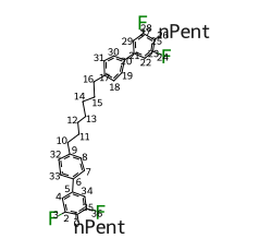 CCCCCc1c(F)cc(-c2ccc(CCCCCCCc3ccc(-c4cc(F)c(CCCCC)c(F)c4)cc3)cc2)cc1F